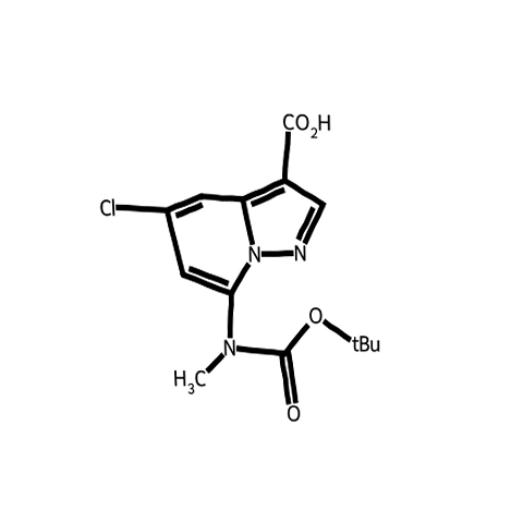 CN(C(=O)OC(C)(C)C)c1cc(Cl)cc2c(C(=O)O)cnn12